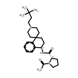 CC(=O)N1CCC[C@H]1C(=O)N[C@@H]1CCC2(CCN(CCC(C)(C)C)CC2)c2ccccc21